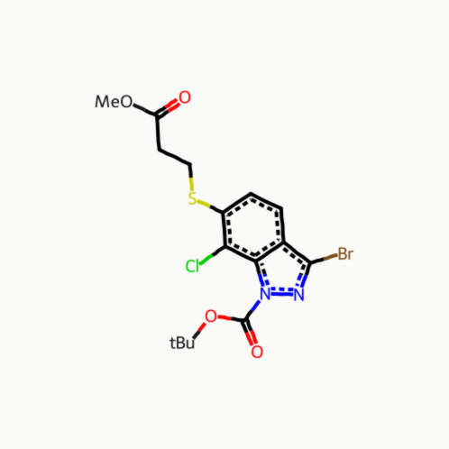 COC(=O)CCSc1ccc2c(Br)nn(C(=O)OC(C)(C)C)c2c1Cl